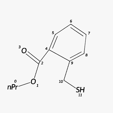 CCCOC(=O)c1ccccc1CS